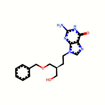 Nc1nc2c(ncn2CC[C@@H](CO)COCc2ccccc2)c(=O)[nH]1